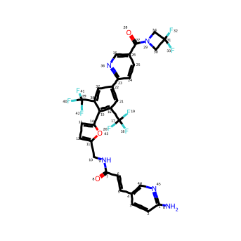 Nc1ccc(C=CC(=O)NCc2ccc(-c3c(C(F)(F)F)cc(-c4ccc(C(=O)N5CC(F)(F)C5)cn4)cc3C(F)(F)F)o2)cn1